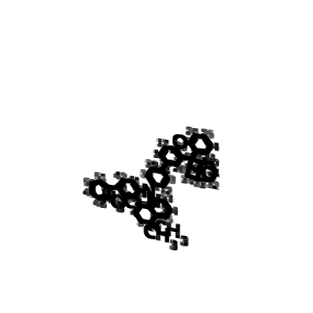 CC1(C)CCC(C)(C)c2c(N(c3ccc(-c4ccc5c(c4)C4(c6ccccc6O5)C5CC6CC7CC4C75C6)cc3)c3ccc4c(c3)oc3ccccc34)cccc21